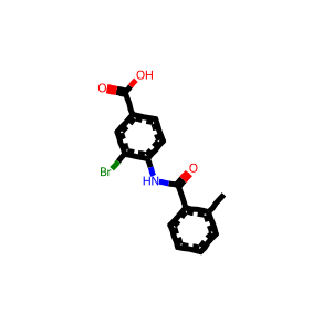 Cc1ccccc1C(=O)Nc1ccc(C(=O)O)cc1Br